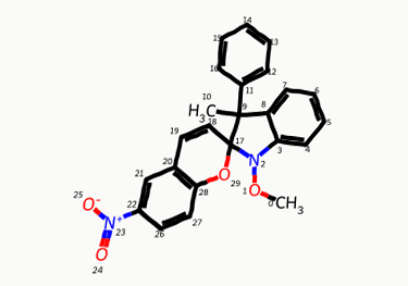 CON1c2ccccc2C(C)(c2ccccc2)C12C=Cc1cc([N+](=O)[O-])ccc1O2